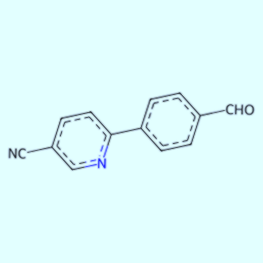 N#Cc1ccc(-c2ccc(C=O)cc2)nc1